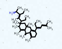 C=C1C2=C(C)CCC(/C(=C/C=C(C)C)CC)=C2CC2(C)CC(C)(C(CC)/C(C)=C(\CC)C(C)N)C(C)C(C)=C12